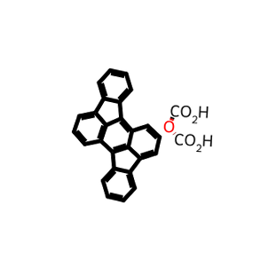 O=C(O)OC(=O)O.c1ccc2c(c1)c1cccc3c4c5ccccc5c5cccc(c2c13)c54